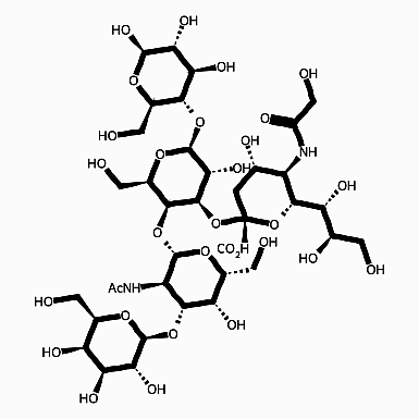 CC(=O)N[C@H]1[C@H](O[C@@H]2[C@H](O[C@]3(C(=O)O)C[C@H](O)[C@@H](NC(=O)CO)[C@H]([C@H](O)[C@H](O)CO)O3)[C@@H](O)[C@H](O[C@H]3[C@H](O)[C@@H](O)[C@H](O)O[C@@H]3CO)O[C@@H]2CO)O[C@H](CO)[C@H](O)[C@@H]1O[C@@H]1O[C@H](CO)[C@H](O)[C@H](O)[C@H]1O